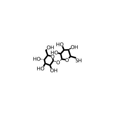 OCC1O[C@H](O[C@H]2OC(CS)[C@H](O)C(O)C2O)C(O)C(O)[C@@H]1O